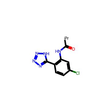 CC(C)C(=O)Nc1cc(Cl)ccc1-c1nnn[nH]1